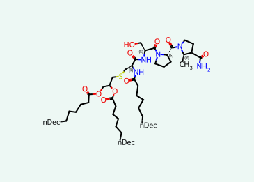 CCCCCCCCCCCCCCCC(=O)N[C@@H](CSCC(COC(=O)CCCCCCCCCCCCCCC)OC(=O)CCCCCCCCCCCCCCC)C(=O)N[C@@H](CO)C(=O)N1CCC[C@H]1C(=O)N1CCC(C(N)=O)[C@H]1C